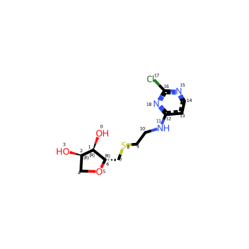 O[C@@H]1[C@H](O)CO[C@H]1CSCCNc1ccnc(Cl)n1